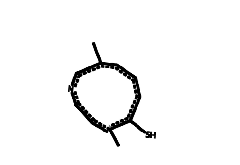 Cc1cccc(S)c(C)ccnc1